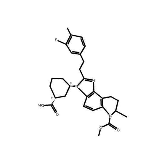 COC(=O)N1c2ccc3c(nc(CCc4ccc(C)c(F)c4)n3[C@@H]3CCC[C@@H](C(=O)O)C3)c2CCC1C